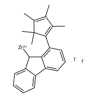 CC1=C(C)C(C)(C)C(c2cccc3c2[CH]([Zr+2])c2ccccc2-3)=C1C.[I-].[I-]